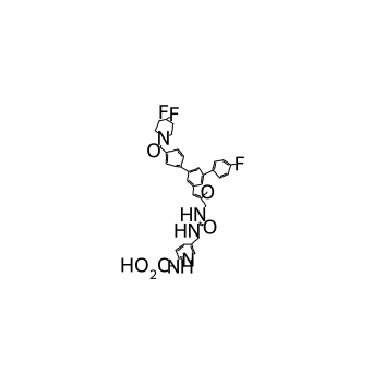 O=C(O)Nc1ccc(CNC(=O)NCc2cc3cc(-c4ccc(C(=O)N5CCC(F)(F)CC5)cc4)cc(-c4ccc(F)cc4)c3o2)cn1